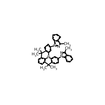 Cc1nn(-c2ccc3c(c2)N2c4cc(-n5nc(C)c6ccccc65)ccc4C(C)(C)c4cccc(c42)C3(C)C)c2ccccc12